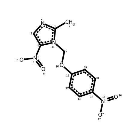 Cc1ncc([N+](=O)[O-])n1COc1ccc([N+](=O)[O-])cc1